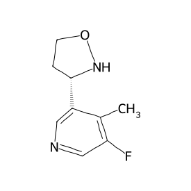 Cc1c(F)cncc1[C@@H]1CCON1